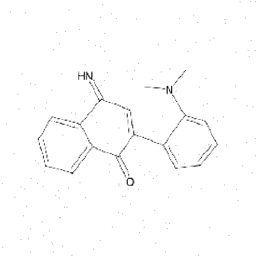 CN(C)c1ccccc1C1=CC(=N)c2ccccc2C1=O